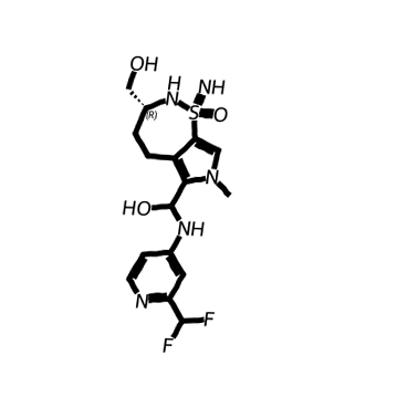 Cn1cc2c(c1C(O)Nc1ccnc(C(F)F)c1)CC[C@H](CO)NS2(=N)=O